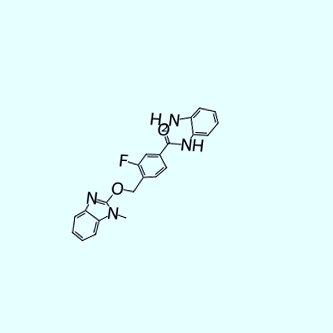 Cn1c(OCc2ccc(C(=O)Nc3ccccc3N)cc2F)nc2ccccc21